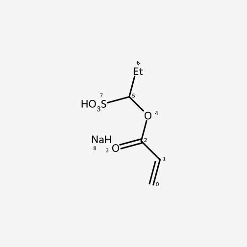 C=CC(=O)OC(CC)S(=O)(=O)O.[NaH]